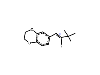 CC(C)(C)/C(F)=C/c1ccc2c(c1)OCCO2